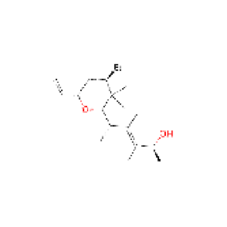 C=CC1C[C@@H](CC)C(C)(C)[C@H]([C@@H](C)/C(C)=C(\C)[C@H](C)O)O1